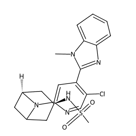 Cn1c(-c2cc(N3C4C[C@H](NS(C)(=O)=O)C[C@@H]3C4)ncc2Cl)nc2ccccc21